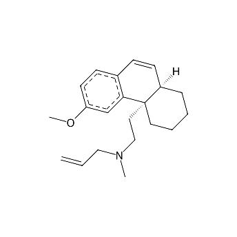 C=CCN(C)CC[C@@]12CCCC[C@@H]1C=Cc1ccc(OC)cc12